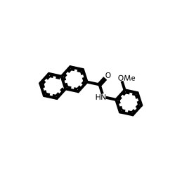 COc1ccccc1NC(=O)c1ccc2ccccc2c1